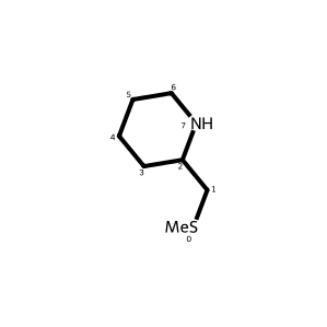 CSCC1CCCCN1